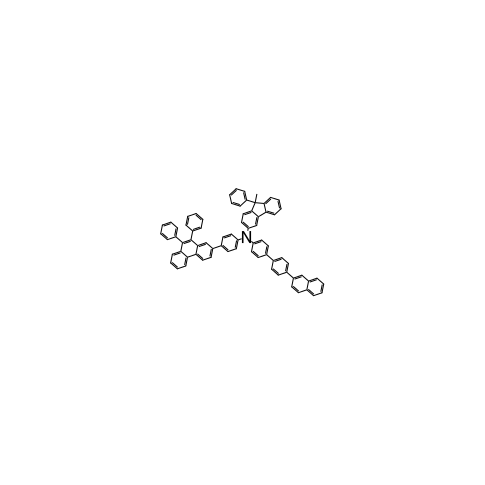 CC1(c2ccccc2)c2ccccc2-c2cc(N(c3ccc(-c4ccc(-c5ccc6ccccc6c5)cc4)cc3)c3ccc(-c4ccc5c(c4)c(-c4ccccc4)c(-c4ccccc4)c4ccccc45)cc3)ccc21